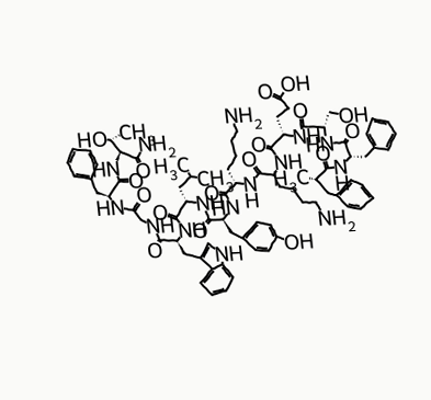 CC(C)C[C@H](NC(=O)[C@H](Cc1ccc(O)cc1)NC(=O)[C@H](CCCCN)NC(=O)[C@H](CCCCN)NC(=O)[C@H](CCC(=O)O)NC(=O)[C@H](CO)NC(=O)[C@H](Cc1ccccc1)NC(=O)[C@@H](C)Cc1ccccc1)C(=O)N[C@@H](Cc1c[nH]c2ccccc12)C(=O)NCC(=O)N[C@@H](Cc1ccccc1)C(=O)N[C@H](C(N)=O)[C@@H](C)O